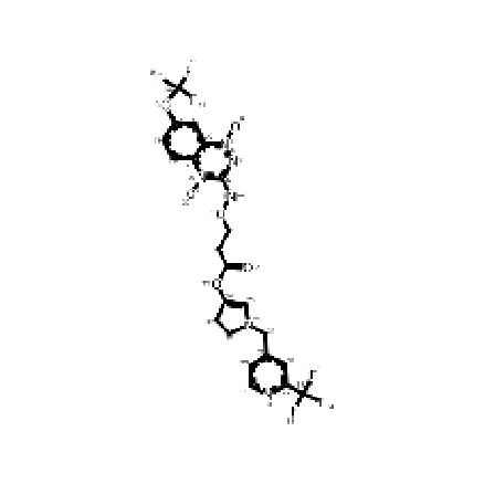 O=C(CCONc1n[n+]([O-])c2cc(OC(F)(F)F)ccc2[n+]1[O-])OC1=CN(Cc2ccnc(C(F)(F)F)c2)CC1